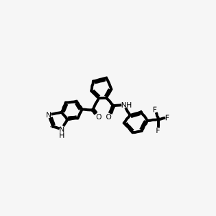 O=C(Nc1cccc(C(F)(F)F)c1)c1ccccc1C(=O)c1ccc2n[c][nH]c2c1